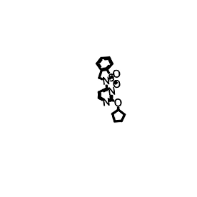 O=S1(=O)c2ccccc2CN1c1ccnc(OC2CCCC2)n1